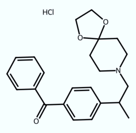 CC(CN1CCC2(CC1)OCCO2)c1ccc(C(=O)c2ccccc2)cc1.Cl